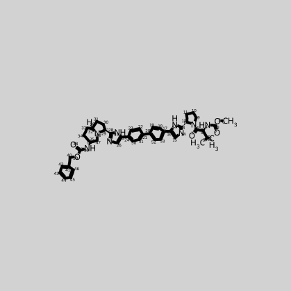 COC(=O)N[C@H](C(=O)N1CCC[C@H]1c1ncc(-c2ccc(-c3ccc(-c4cnc([C@@H]5CC[C@@H]6CC[C@H](NC(=O)OCc7ccccc7)CN65)[nH]4)cc3)cc2)[nH]1)C(C)C